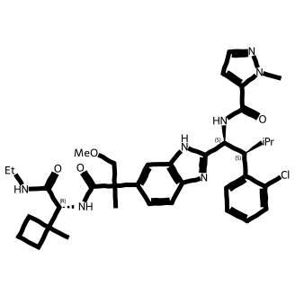 CCNC(=O)[C@H](NC(=O)C(C)(COC)c1ccc2nc([C@@H](NC(=O)c3ccnn3C)[C@H](c3ccccc3Cl)C(C)C)[nH]c2c1)C1(C)CCC1